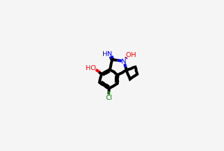 N=C1c2c(O)cc(Cl)cc2C2(CCC2)N1O